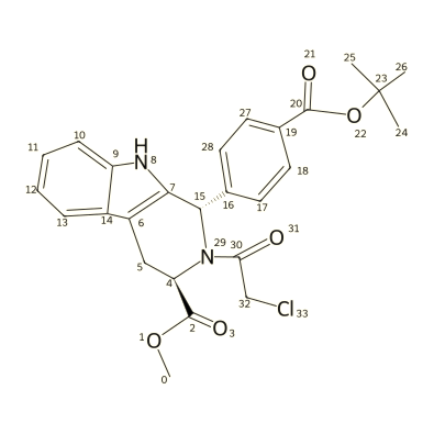 COC(=O)[C@H]1Cc2c([nH]c3ccccc23)[C@H](c2ccc(C(=O)OC(C)(C)C)cc2)N1C(=O)CCl